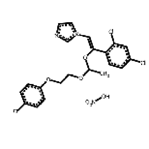 CC(OCCOc1ccc(Cl)cc1)OC(=Cn1ccnc1)c1ccc(Cl)cc1Cl.O=[N+]([O-])O